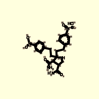 Cl.NC(=O)C1CNC(CCc2ccc([N+](=O)[O-])cc2)(CCc2ccc([N+](=O)[O-])cc2)C1C(N)=O